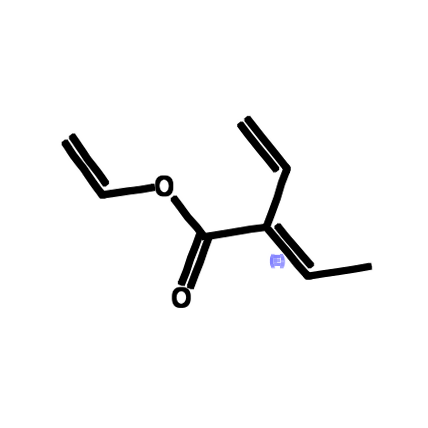 C=COC(=O)/C(C=C)=C/C